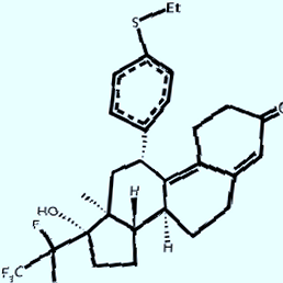 CCSc1ccc([C@H]2C[C@@]3(C)[C@@H](CC[C@@]3(O)C(F)(F)C(F)(F)F)[C@@H]3CCC4=CC(=O)CCC4=C32)cc1